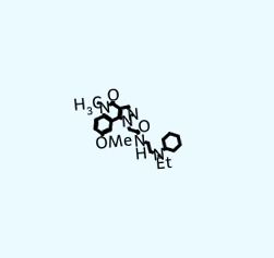 CCN(CCNC(=O)Cn1ncc2c(=O)n(C)c3ccc(OC)cc3c21)C1CCCCC1